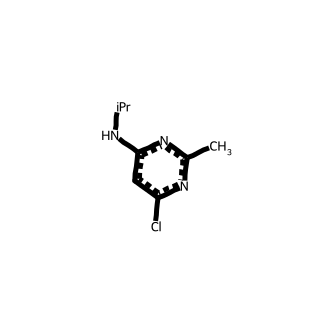 Cc1nc(Cl)cc(NC(C)C)n1